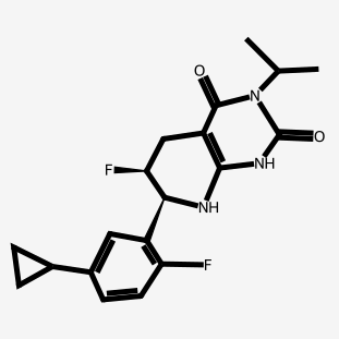 CC(C)n1c(=O)[nH]c2c(c1=O)C[C@H](F)[C@H](c1cc(C3CC3)ccc1F)N2